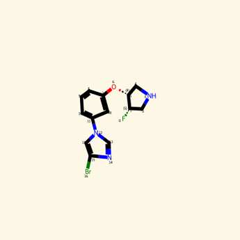 F[C@H]1CNC[C@H]1Oc1cccc(-n2cnc(Br)c2)c1